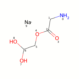 NCC(=O)OCC(O)O.[Na]